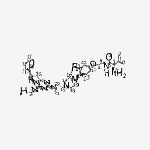 CC(C)[C@H](N)C(=O)NCCOc1ccc(N2CCN(CCN(C)c3nc(N)n4nc(-c5ccco5)cc4n3)CC2)c(F)c1